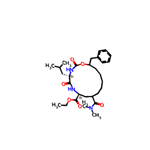 CCOC(=O)[C@@H]1CC(C(=O)N(C)C)CCCCCC(Cc2ccccc2)OC(=O)N[C@@H](CC(C)C)C(=O)N1